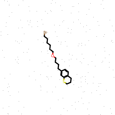 BrCCCCCCOCCCCc1ccc2c(c1)SCCC2